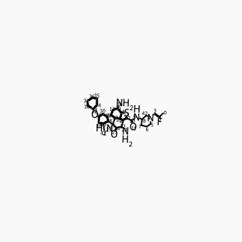 CC(F)=CN1CCCC(NC(=O)c2sc3c(N)ccc4c3c2C(N)C(=O)C4(N)c2ccc(Oc3ccccc3)cc2C)C1